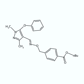 CCCCOC(=O)c1ccc(CON=Cc2c(C)nn(C)c2Oc2ccccc2)cc1